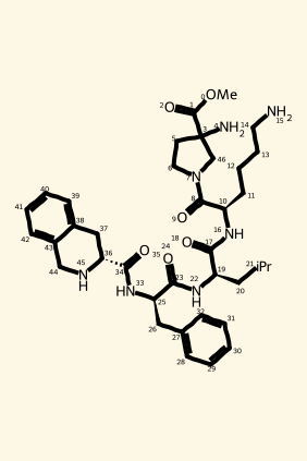 COC(=O)C1(N)CCN(C(=O)[C@@H](CCCCN)NC(=O)[C@@H](CC(C)C)NC(=O)[C@@H](Cc2ccccc2)NC(=O)[C@H]2Cc3ccccc3CN2)C1